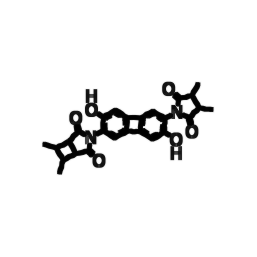 CC1C(=O)N(c2cc3c(cc2O)-c2cc(N4C(=O)C5C(C)C(C)C5C4=O)c(O)cc2-3)C(=O)C1C